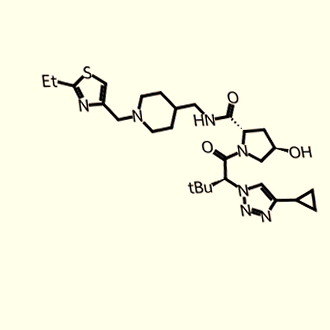 CCc1nc(CN2CCC(CNC(=O)[C@@H]3C[C@@H](O)CN3C(=O)[C@@H](n3cc(C4CC4)nn3)C(C)(C)C)CC2)cs1